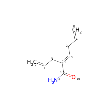 C=CC/C=C(\CC=C)C(N)=O